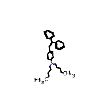 CCCCCN(CCCCC)c1ccc(C=C(c2ccccc2)c2ccccc2)cc1